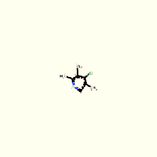 Cc1cnc(C)c(C(C)(C)C)c1Cl